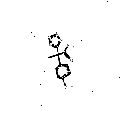 CC(C(N)=O)(c1ccc(C=O)cc1)c1nnn[nH]1